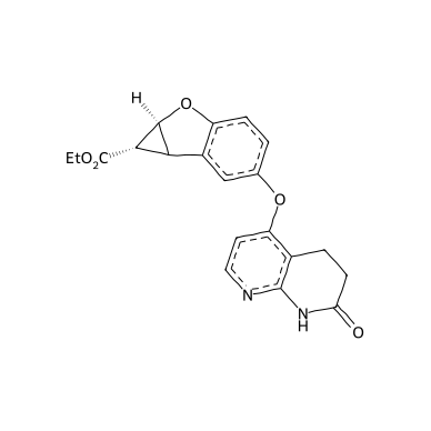 CCOC(=O)[C@H]1C2c3cc(Oc4ccnc5c4CCC(=O)N5)ccc3O[C@@H]21